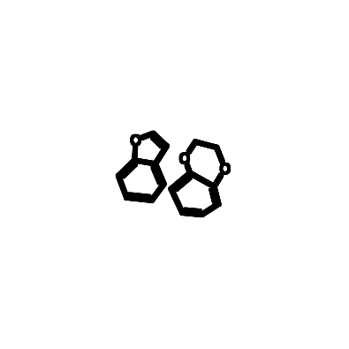 c1ccc2c(c1)OCCO2.c1ccc2occc2c1